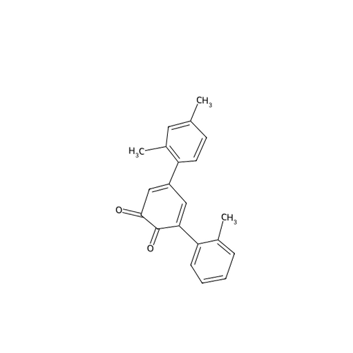 Cc1ccc(C2=CC(=O)C(=O)C(c3ccccc3C)=C2)c(C)c1